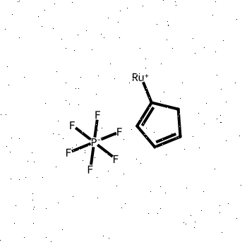 F[P-](F)(F)(F)(F)F.[Ru+][C]1=CC=CC1